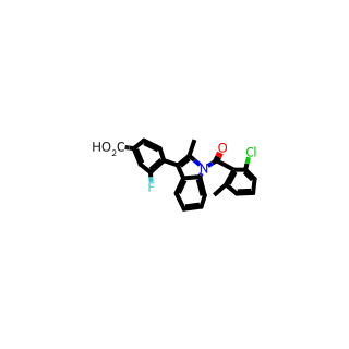 Cc1cccc(Cl)c1C(=O)n1c(C)c(-c2ccc(C(=O)O)cc2F)c2ccccc21